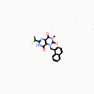 CC(F)c1nc2c(=O)n(C)c(=O)n(Cc3cccc4ccccc34)c2c(=O)[nH]1